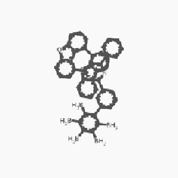 Bc1c(B)c(B)c(-c2cccc(-c3nc(-c4ccccc4)nc(-c4cccc5oc6cccc(-c7cccc8c7sc7ccccc78)c6c45)n3)c2)c(B)c1B